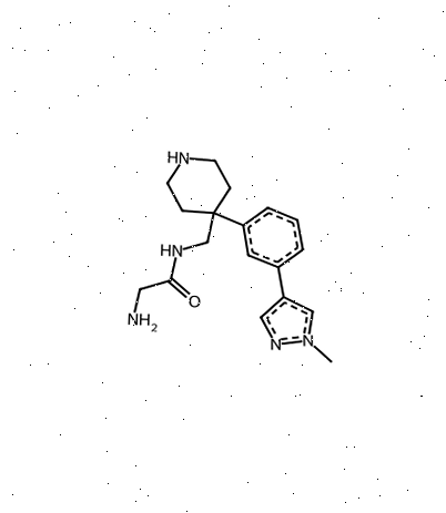 Cn1cc(-c2cccc(C3(CNC(=O)CN)CCNCC3)c2)cn1